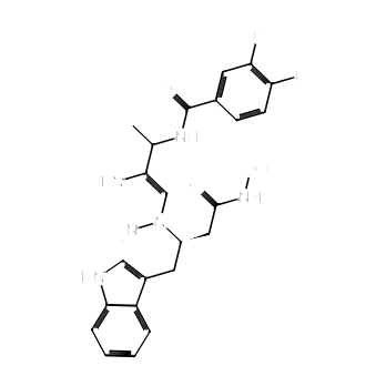 CC(NC(=O)c1ccc(F)c(F)c1)/C(N)=C/N(N)[C@@H](CC(=O)NO)Cc1c[nH]c2ccccc12